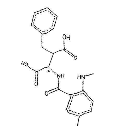 CNc1ccc(I)cc1C(=O)N[C@H](C(=O)O)C(Cc1ccccc1)C(=O)O